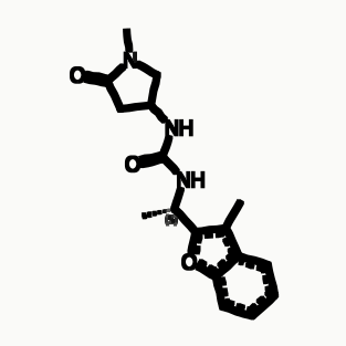 Cc1c([C@H](C)NC(=O)NC2CC(=O)N(C)C2)oc2ccccc12